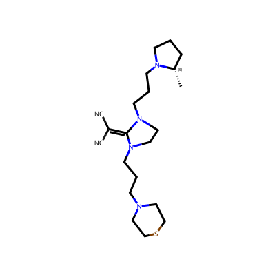 C[C@H]1CCCN1CCCN1CCN(CCCN2CCSCC2)C1=C(C#N)C#N